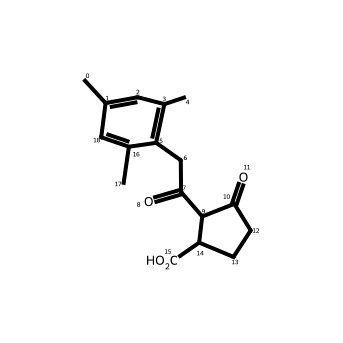 Cc1cc(C)c(CC(=O)C2C(=O)CCC2C(=O)O)c(C)c1